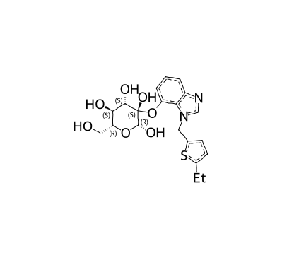 CCc1ccc(Cn2cnc3cccc(O[C@]4(O)[C@H](O)O[C@H](CO)[C@@H](O)[C@@H]4O)c32)s1